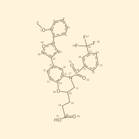 COc1ccccc1-c1nc(-c2ccc3c(c2)N(S(=O)(=O)c2cccc(C(F)(F)F)c2)CC(CCC(=O)O)O3)no1